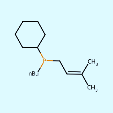 CCCCP(CC=C(C)C)C1CCCCC1